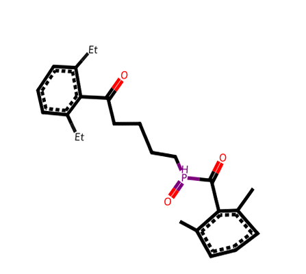 CCc1cccc(CC)c1C(=O)CCCC[PH](=O)C(=O)c1c(C)cccc1C